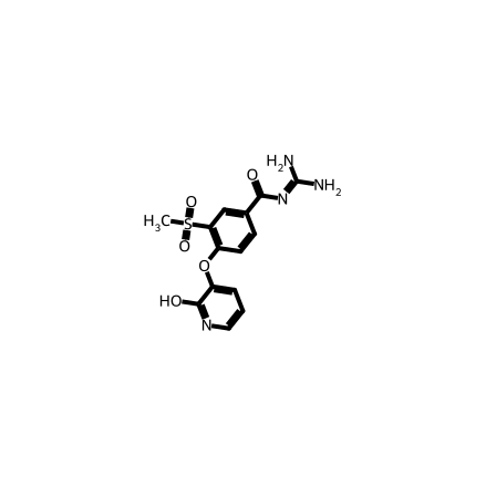 CS(=O)(=O)c1cc(C(=O)N=C(N)N)ccc1Oc1cccnc1O